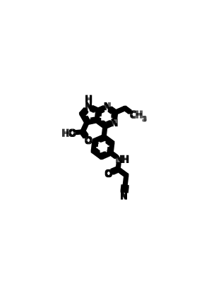 CCc1nc(-c2cccc(NC(=O)CC#N)c2)c2c(C(=O)O)c[nH]c2n1